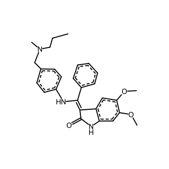 CCCN(C)Cc1ccc(N/C(=C2\C(=O)Nc3cc(OC)c(OC)cc32)c2ccccc2)cc1